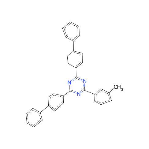 Cc1cccc(-c2nc(C3=CC=C(c4ccccc4)CC3)nc(-c3ccc(-c4ccccc4)cc3)n2)c1